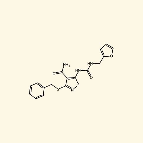 NC(=O)c1c(SCc2ccccc2)nsc1NC(=O)NCc1ccco1